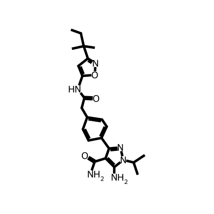 CCC(C)(C)c1cc(NC(=O)Cc2ccc(-c3nn(C(C)C)c(N)c3C(N)=O)cc2)on1